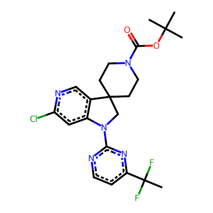 CC(C)(C)OC(=O)N1CCC2(CC1)CN(c1nccc(C(C)(F)F)n1)c1cc(Cl)ncc12